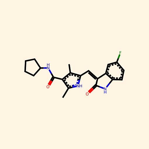 Cc1[nH]c(/C=C2\C(=O)Nc3ccc(F)cc32)c(C)c1C(=O)NC1CCCC1